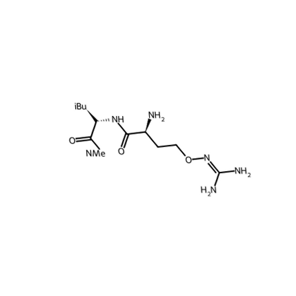 CC[C@H](C)[C@H](NC(=O)[C@@H](N)CCON=C(N)N)C(=O)NC